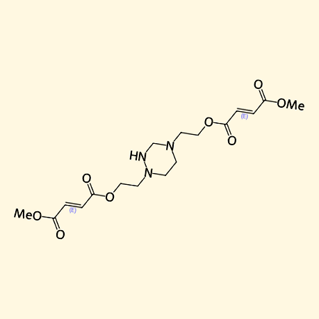 COC(=O)/C=C/C(=O)OCCN1CCN(CCOC(=O)/C=C/C(=O)OC)NC1